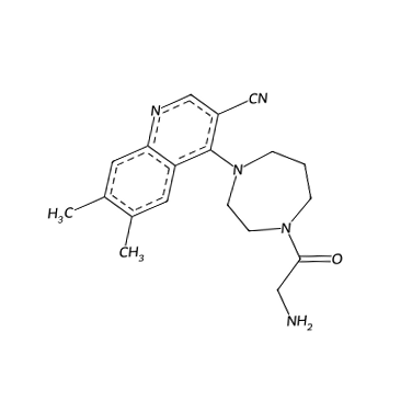 Cc1cc2ncc(C#N)c(N3CCCN(C(=O)CN)CC3)c2cc1C